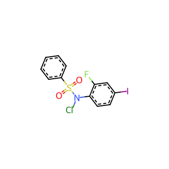 O=S(=O)(c1ccccc1)N(Cl)c1ccc(I)cc1F